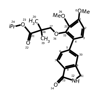 COc1ccc(-c2ccc3c(c2)CNC3=O)c(OCC(C)(C)C(=O)OC(C)C)c1OC